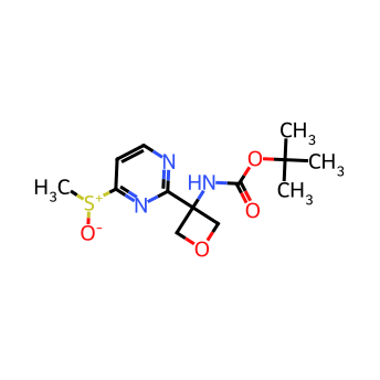 C[S+]([O-])c1ccnc(C2(NC(=O)OC(C)(C)C)COC2)n1